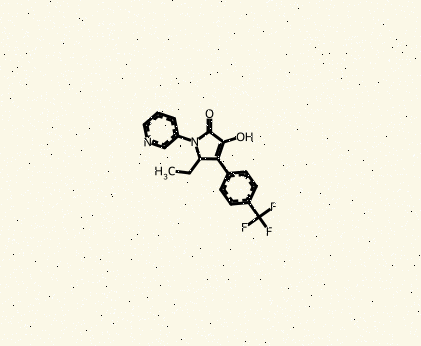 CCC1C(c2ccc(C(F)(F)F)cc2)=C(O)C(=O)N1c1cccnc1